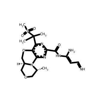 C[C@@H]1COC[C@H]2COc3c(nc(C(=O)N/C(N)=C/C=N)nc3C(C)(C)S(C)(=O)=O)N21